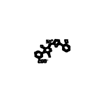 O=C([O-])c1cccc(N2C(=O)C(=Cc3ccc(-c4ccccc4Cl)o3)SC2=S)c1.[Na+]